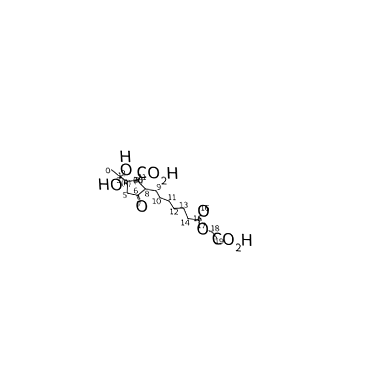 CC(O)(O)[C@@H]1CC(=O)C(CCCCCCC(=O)OCC(=O)O)[C@@H]1C(=O)O